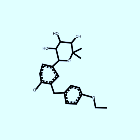 CCOc1ccc(Cc2cc(C3OC(C)(C)C(O)C(O)C3O)ccc2Cl)cc1